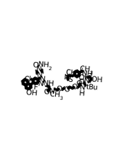 Cc1ncsc1-c1ccc([C@H](C)NC(=O)[C@@H]2C[C@@H](O)CN2C(=O)C(NC(=O)COCCOCCOCCN(C)C(=O)CCNc2nc(N3CCN(C(N)=O)CC3)c3cc(Cl)c(-c4cc(O)cc5ccccc45)c(F)c3n2)C(C)(C)C)cc1